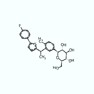 Cc1ccc([C@@H]2O[C@H](CO)[C@@H](O)[C@H](O)[C@H]2O)cc1C(C)c1ccc(-c2ccc(F)cc2)s1